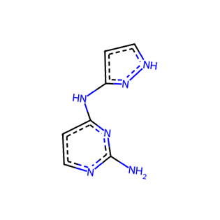 Nc1nccc(Nc2cc[nH]n2)n1